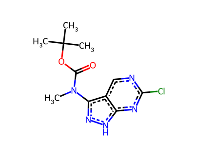 CN(C(=O)OC(C)(C)C)c1n[nH]c2nc(Cl)ncc12